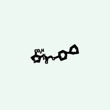 O=C(COc1ccc(-c2ccccc2)cc1)Nc1cscc1C(=O)O